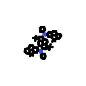 CC1(C)c2cccc3ccc4cc(N(c5ccccc5)c5cc([Si](C)(C)C)c6ccc7c(N(c8ccccc8)c8cc9c%10c(ccc%11cccc(c%11%10)C9(C)C)c8)cc([Si](C)(C)C)c8ccc5c6c78)cc1c4c23